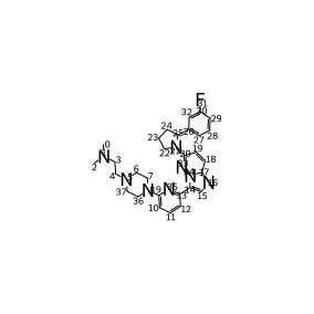 CN(C)CCN1CCN(c2cccc(-c3cnc4ccc(N5CCCC5c5cccc(F)c5)nn34)n2)CC1